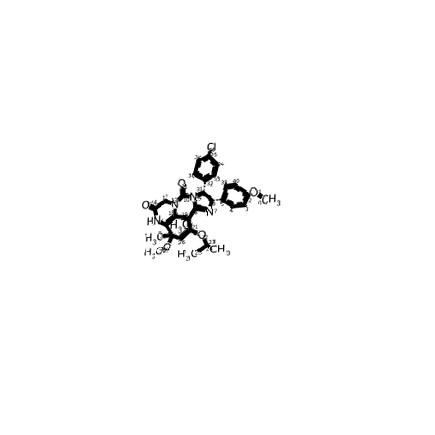 COc1ccc([C@@H]2N=C3N(C(=O)N4CC(=O)NC5=C4C3(C)C(OC(C)C)=CC5(C)OC)[C@@H]2c2ccc(Cl)cc2)cc1